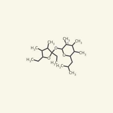 CCC1OC(CC)(OC2OC(CC(C)C)C(C)C(C)[C@@H]2C)C(C)C1C